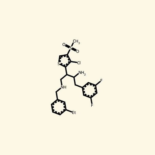 CCc1cccc(CNCC(c2scc(S(C)(=O)=O)c2Cl)C(N)Cc2cc(F)cc(F)c2)c1